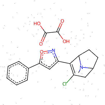 CN1C2CCC1C(c1cc(-c3ccccc3)on1)=C(Cl)C2.O=C(O)C(=O)O